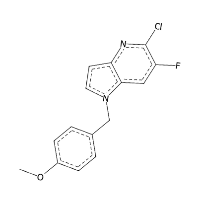 COc1ccc(Cn2ccc3nc(Cl)c(F)cc32)cc1